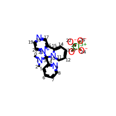 CN(C)C1(c2ccccn2)N2CC=CC=C2c2cncc[n+]21.[O-][Cl+3]([O-])([O-])[O-]